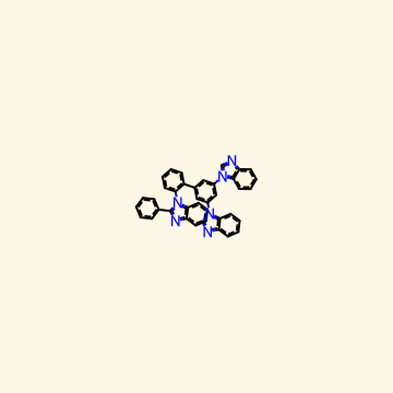 c1ccc(-c2nc3ccccc3n2-c2ccccc2-c2cc(-n3cnc4ccccc43)cc(-n3cnc4ccccc43)c2)cc1